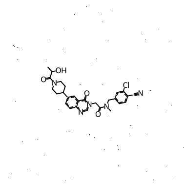 CC(O)C(=O)N1CCC(c2ccc3ncn(CC(=O)N(C)Cc4ccc(C#N)c(Cl)c4)c(=O)c3c2)CC1